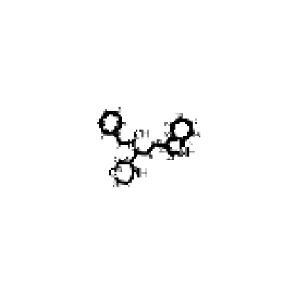 CN(Cc1ccccc1)C(CCc1c[nH]c2ccccc12)C1COCCN1